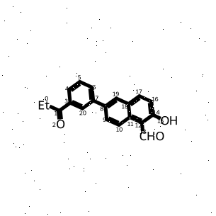 CCC(=O)c1cccc(-c2ccc3c(C=O)c(O)ccc3c2)c1